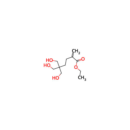 C=C(CCC(CO)(CO)CO)C(=O)OCC